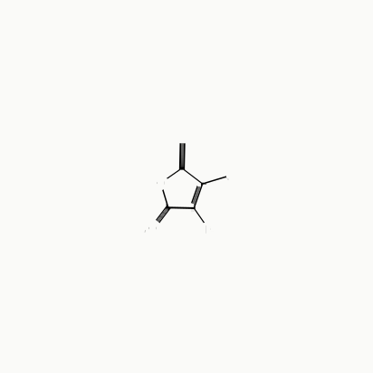 C=C1OC(=O)C(Br)=C1C